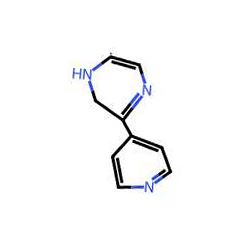 [C]1=CN=C(c2ccncc2)CN1